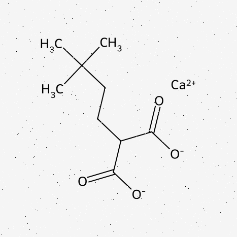 CC(C)(C)CCC(C(=O)[O-])C(=O)[O-].[Ca+2]